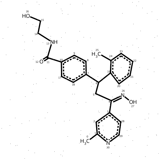 Cc1cc(/C(CC(c2ccc(C(=O)NCCO)cc2)c2ccccc2C)=N\O)ccn1